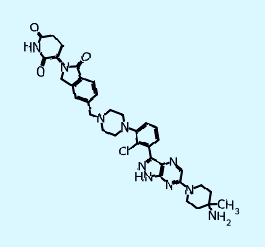 CC1(N)CCN(c2cnc3c(-c4cccc(N5CCN(Cc6ccc7c(c6)CN(C6CCC(=O)NC6=O)C7=O)CC5)c4Cl)n[nH]c3n2)CC1